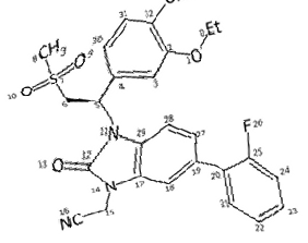 CCOc1cc([C@H](CS(C)(=O)=O)n2c(=O)n(CC#N)c3cc(-c4ccccc4F)ccc32)ccc1OC